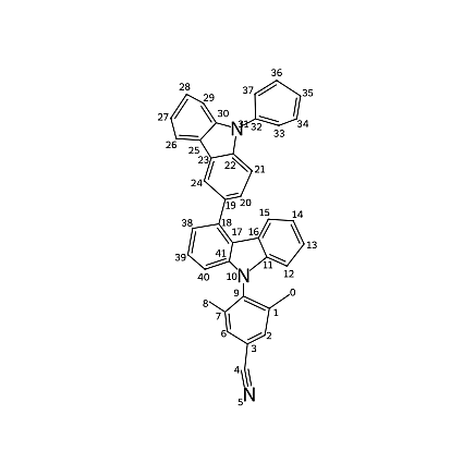 Cc1cc(C#N)cc(C)c1-n1c2ccccc2c2c(-c3ccc4c(c3)c3ccccc3n4-c3ccccc3)cccc21